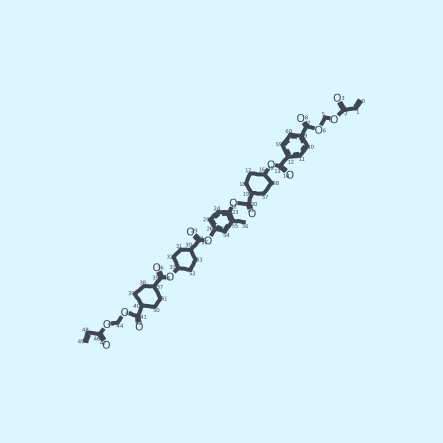 C=CC(=O)OCOC(=O)c1ccc(C(=O)OC2CCC(C(=O)Oc3ccc(OC(=O)C4CCC(OC(=O)C5CCC(C(=O)OCOC(=O)C=C)CC5)CC4)cc3C)CC2)cc1